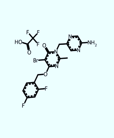 Cc1nc(OCc2ccc(F)cc2F)c(Br)c(=O)n1Cc1cnc(N)cn1.O=C(O)C(F)(F)F